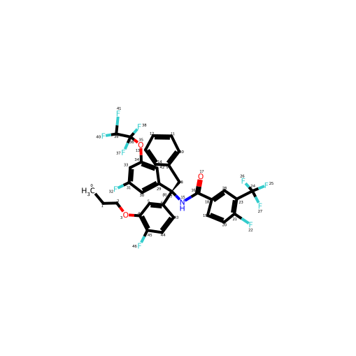 CCCOc1cc([C@@](Cc2ccccc2)(NC(=O)c2ccc(F)c(C(F)(F)F)c2)c2cc(F)cc(OC(F)(F)C(F)F)c2)ccc1F